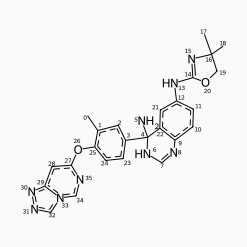 Cc1cc(C2(N)NC=Nc3ccc(NC4=NC(C)(C)CO4)cc32)ccc1Oc1cc2nncn2cn1